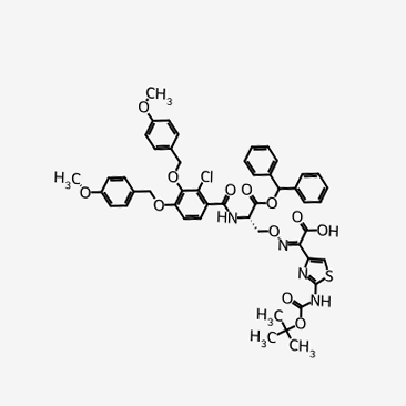 COc1ccc(COc2ccc(C(=O)N[C@@H](CO/N=C(\C(=O)O)c3csc(NC(=O)OC(C)(C)C)n3)C(=O)OC(c3ccccc3)c3ccccc3)c(Cl)c2OCc2ccc(OC)cc2)cc1